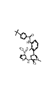 Cc1c(NC(=O)c2ccc(C(C)(C)C)cc2)cccc1-c1cc(Nc2cc([N+](=O)[O-])ccn2)c(=O)n(C)c1